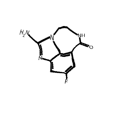 Nc1nc2cc(F)cc3c2n1CCNC3=O